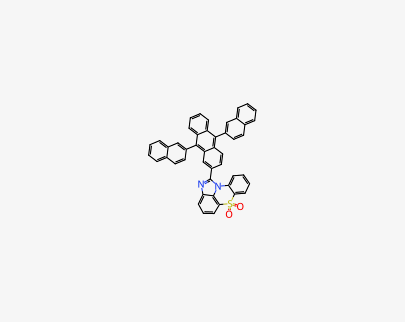 O=S1(=O)c2ccccc2-n2c(-c3ccc4c(-c5ccc6ccccc6c5)c5ccccc5c(-c5ccc6ccccc6c5)c4c3)nc3cccc1c32